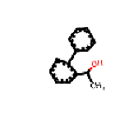 CC(O)c1ccccc1-c1ccccc1